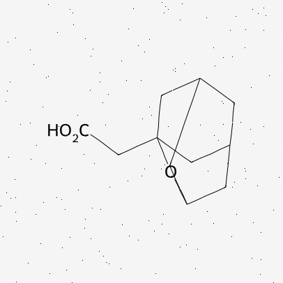 O=C(O)CC12CC3CC(CC(C3)O1)C2